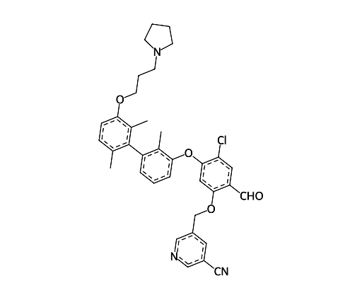 Cc1ccc(OCCCN2CCCC2)c(C)c1-c1cccc(Oc2cc(OCc3cncc(C#N)c3)c(C=O)cc2Cl)c1C